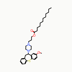 CCCCCCCCCCCC(=O)OCCCN1CCN(C2Cc3ccccc3Sc3ccc(OC)cc32)CC1